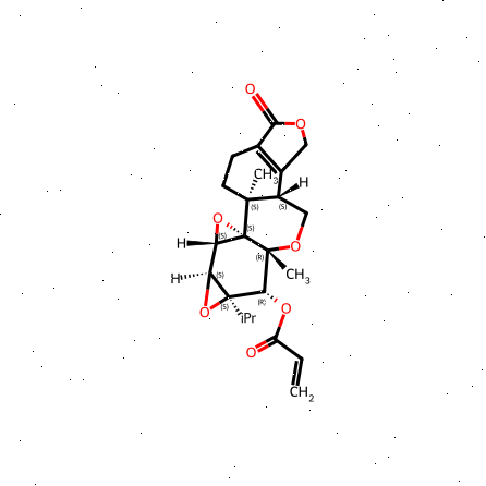 C=CC(=O)O[C@@H]1[C@@]2(C(C)C)O[C@H]2[C@@H]2O[C@@]23[C@@]2(C)CCC4=C(COC4=O)[C@@H]2CO[C@]13C